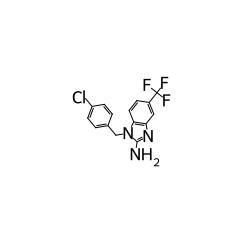 Nc1nc2cc(C(F)(F)F)ccc2n1Cc1ccc(Cl)cc1